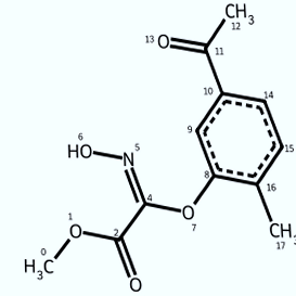 COC(=O)C(=NO)Oc1cc(C(C)=O)ccc1C